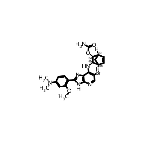 COc1cc(N(C)C)ccc1-c1nc2c(N[C@H]3[C@@H](OC(N)=O)[C@@H]4C=C[C@H]3C4)c(Br)cnc2[nH]1